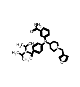 CC(C)N(C(=O)c1ccc(N(c2cccc(C(N)=O)c2)C2CCN(Cc3ccoc3)CC2)cc1)C(C)C